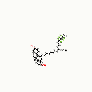 C[C@]12CC(CCCCCCCCC(CCCC(F)(F)C(F)(F)C(F)(F)C(F)(F)F)C(=O)O)[C@@H]3c4ccc(O)cc4CC[C@H]3[C@@H]1CC[C@@H]2O